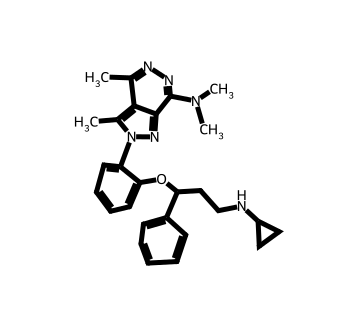 Cc1nnc(N(C)C)c2nn(-c3ccccc3OC(CCNC3CC3)c3ccccc3)c(C)c12